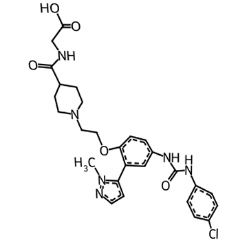 Cn1nccc1-c1cc(NC(=O)Nc2ccc(Cl)cc2)ccc1OCCN1CCC(C(=O)NCC(=O)O)CC1